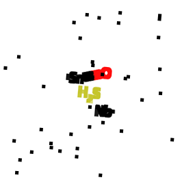 S.[Nb].[O]=[Sn]